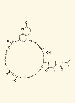 COC1\C=C/C=C\C=C/CC(OC(=O)C(C)NC(=O)CC(C)C)C(C)C(O)/C(C)=C\CCc2cc(cc3c2SCC(=O)N3)NC(O)CCCCCCC(=O)C1